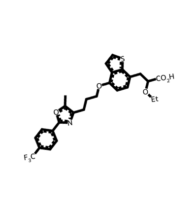 CCOC(Cc1ccc(OCCCc2nc(-c3ccc(C(F)(F)F)cc3)oc2C)c2ccsc12)C(=O)O